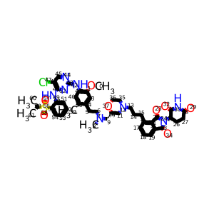 COc1cc(CCN(C)C[C@H]2CN(CCCc3cccc4c3C(=O)N(C3CCC(=O)NC3=O)C4=O)CCO2)c(C)cc1Nc1ncc(Cl)c(Nc2ccccc2S(=O)(=O)C(C)C)n1